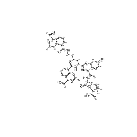 CC(=O)Cc1cccc(C(=O)NC(CCCCNC(=O)c2cccc(OC(C)=O)c2OC(C)=O)C(=O)NC(C(=O)NC2C(=O)N3C2SC(C)(C)C3C(=O)O)c2ccc(O)cc2)c1OC(C)=O